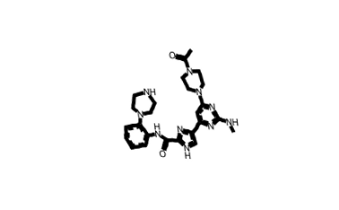 CNc1nc(-c2c[nH]c(C(=O)Nc3ccccc3N3CCNCC3)n2)cc(N2CCN(C(C)=O)CC2)n1